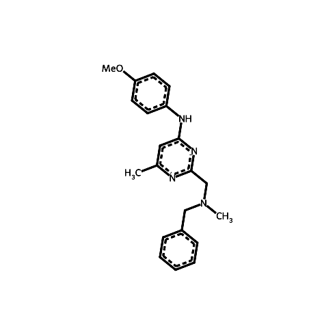 COc1ccc(Nc2cc(C)nc(CN(C)Cc3ccccc3)n2)cc1